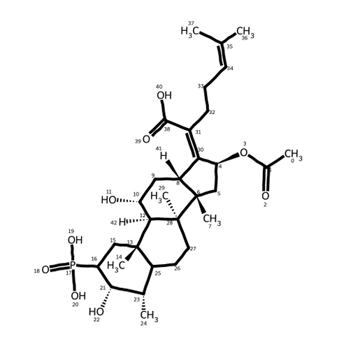 CC(=O)O[C@H]1C[C@@]2(C)[C@H](C[C@@H](O)[C@@H]3[C@@]4(C)CC(P(=O)(O)O)[C@@H](O)[C@@H](C)C4CC[C@@]32C)C1=C(CCC=C(C)C)C(=O)O